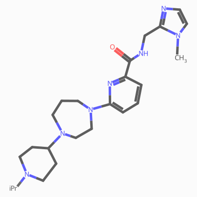 CC(C)N1CCC(N2CCCN(c3cccc(C(=O)NCc4nccn4C)n3)CC2)CC1